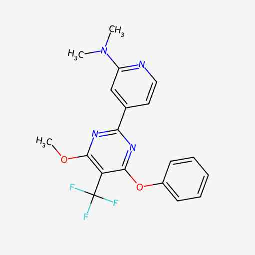 COc1nc(-c2ccnc(N(C)C)c2)nc(Oc2ccccc2)c1C(F)(F)F